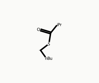 CCCC[CH]SC(=O)C(C)C